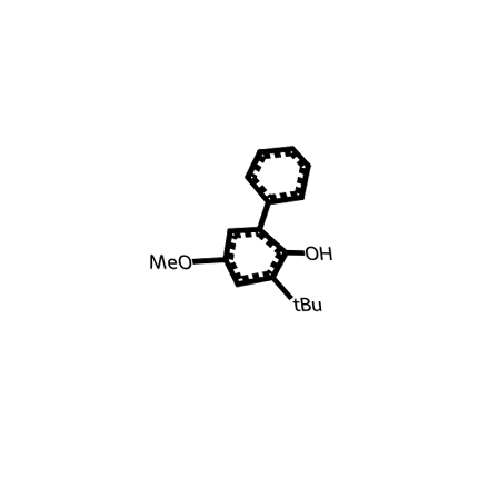 COc1cc(-c2ccccc2)c(O)c(C(C)(C)C)c1